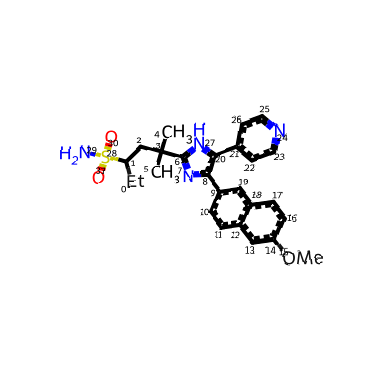 CCC(CC(C)(C)c1nc(-c2ccc3cc(OC)ccc3c2)c(-c2ccncc2)[nH]1)S(N)(=O)=O